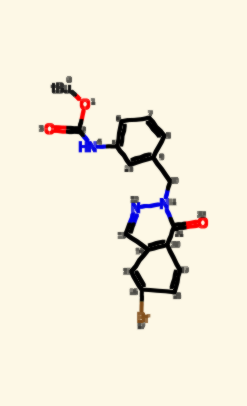 CC(C)(C)OC(=O)Nc1cccc(Cn2ncc3cc(Br)ccc3c2=O)c1